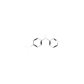 FC(F)(F)c1ccc(Nc2cccnc2)cc1